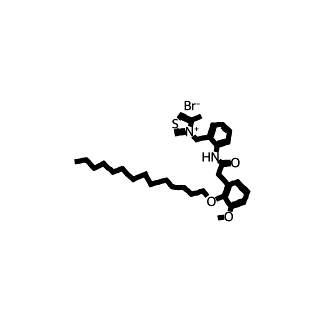 CCCCCCCCCCCCCCOc1c(CC(=O)Nc2ccccc2C[n+]2cscc2C)cccc1OC.[Br-]